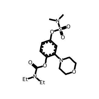 CCN(CC)C(=O)Oc1ccc(OS(=O)(=O)N(C)C)cc1N1CCOCC1